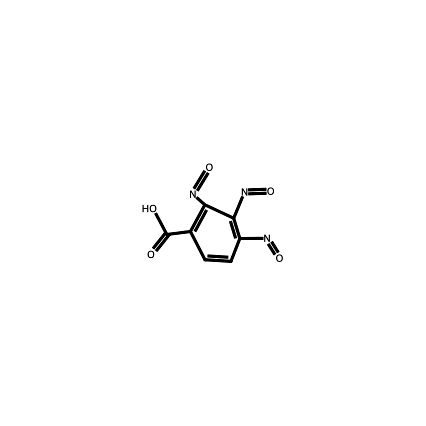 O=Nc1ccc(C(=O)O)c(N=O)c1N=O